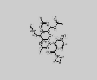 CC(=O)OCC1O[C@H](Sc2cc(Cl)cnc2C(=O)N2CCC2)C(OC(C)=O)C(N=[N+]=[N-])[C@H]1OC(C)=O